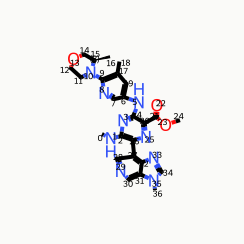 CNc1nc(Nc2cnc(N3CCOC[C@H]3C)c(C)c2)c(C(=O)OC)nc1-c1cncc2c1ncn2C